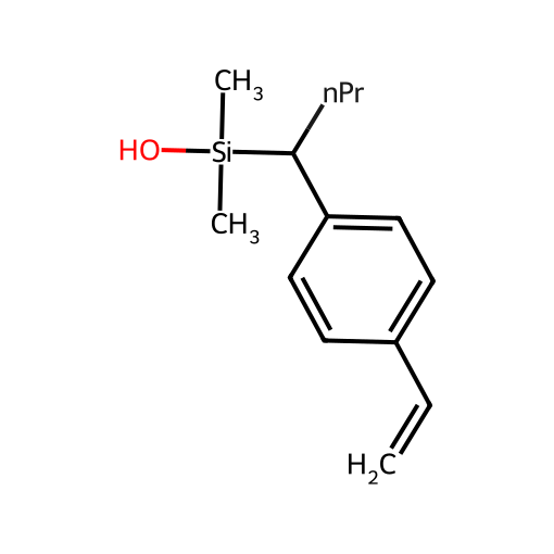 C=Cc1ccc(C(CCC)[Si](C)(C)O)cc1